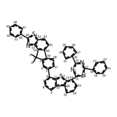 CC1(C)c2cc(-c3cccc4c3sc3c(-c5nc(-c6ccccc6)nc(-c6ccccc6)n5)cccc34)ccc2-c2ccc3sc(-c4ccccc4)nc3c21